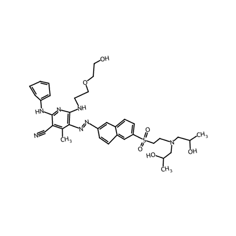 Cc1c(C#N)c(Nc2ccccc2)nc(NCCOCCO)c1/N=N/c1ccc2cc(S(=O)(=O)CCN(CC(C)O)CC(C)O)ccc2c1